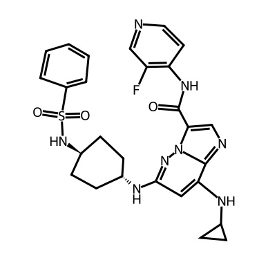 O=C(Nc1ccncc1F)c1cnc2c(NC3CC3)cc(N[C@H]3CC[C@H](NS(=O)(=O)c4ccccc4)CC3)nn12